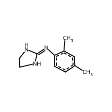 Cc1ccc(N=C2NCCN2)c(C)c1